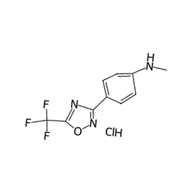 CNc1ccc(-c2noc(C(F)(F)F)n2)cc1.Cl